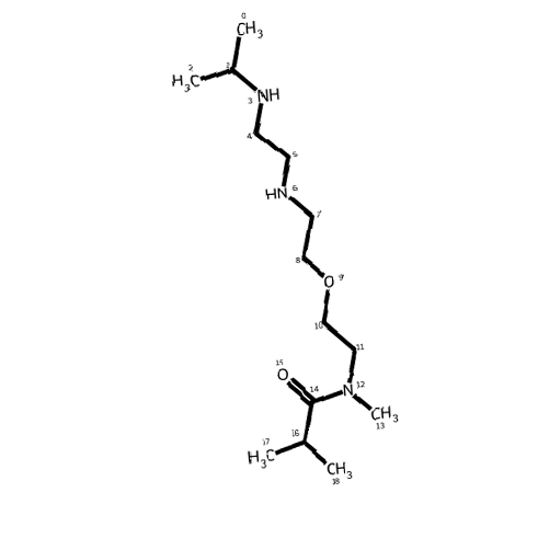 CC(C)NCCNCCOCCN(C)C(=O)C(C)C